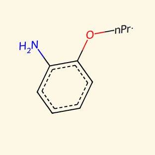 CC[CH]Oc1ccccc1N